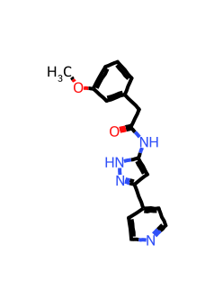 COc1cccc(CC(=O)Nc2cc(-c3ccncc3)n[nH]2)c1